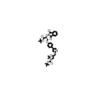 CC(C)(C)OC(=O)[C@H](COc1ccc(-c2cnn(CC3CN(C(=O)OC(C)(C)C)C(C)(C)O3)c2)cc1)ON1C(=O)c2ccccc2C1=O